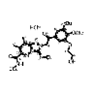 CC/N=c1\n(CC(=O)c2cc(OCCO)c(OC)c(C(C)(C)C)c2)nc2c(C)c(C)c(C(=O)NCC)nn12.Cl